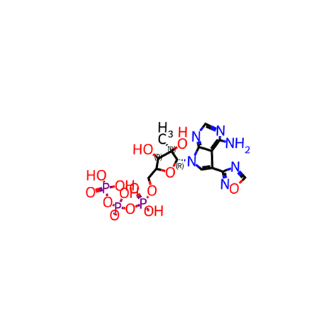 C[C@@]1(O)[C@H](O)C(COP(=O)(O)OP(=O)(O)OP(=O)(O)O)O[C@H]1n1cc(-c2ncon2)c2c(N)ncnc21